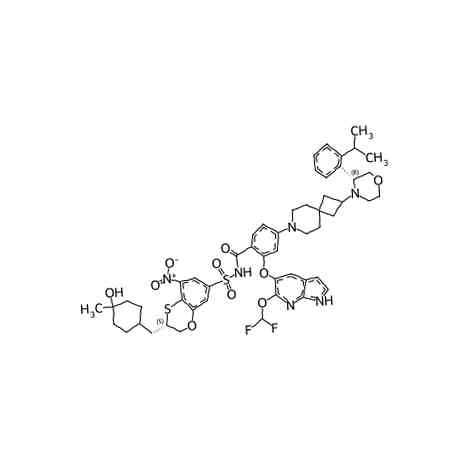 CC(C)c1ccccc1[C@@H]1COCCN1C1CC2(CCN(c3ccc(C(=O)NS(=O)(=O)c4cc5c(c([N+](=O)[O-])c4)S[C@@H](CC4CCC(C)(O)CC4)CO5)c(Oc4cc5cc[nH]c5nc4OC(F)F)c3)CC2)C1